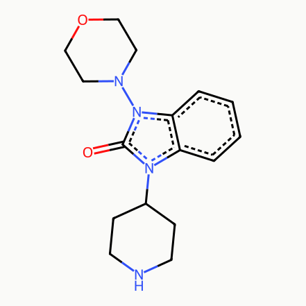 O=c1n(C2CCNCC2)c2ccccc2n1N1CCOCC1